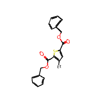 CCc1cc(C(=O)OCc2ccccc2)sc1C(=O)OCc1ccccc1